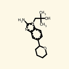 CC(C)(O)Cn1c(N)nc2cc(C3CCCCO3)ccc21